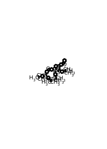 CC(C)(C)c1ccc(N2B3c4sc5ccc(C(C)(C)C)cc5c4-n4c5cc6oc7ccccc7c6cc5c5ccc(c3c54)-c3cc4oc5ccc(N(c6ccc(C(C)(C)C)cc6)c6ccc(C(C)(C)C)cc6)cc5c4cc32)cc1